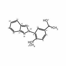 C.CC(O)c1ccc(O)c(-n2nc3ccccc3n2)c1